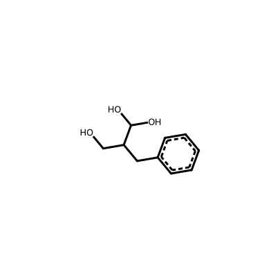 OCC(Cc1ccccc1)C(O)O